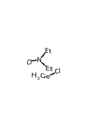 CCN(Cl)CC.[Cl][GeH3]